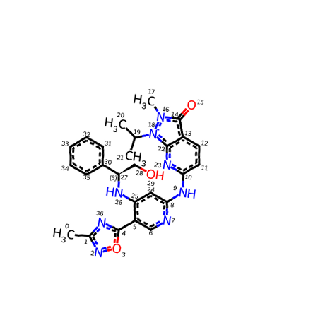 Cc1noc(-c2cnc(Nc3ccc4c(=O)n(C)n(C(C)C)c4n3)cc2N[C@H](CO)c2ccccc2)n1